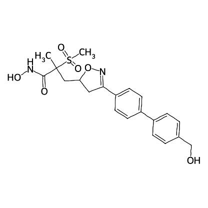 CC(CC1CC(c2ccc(-c3ccc(CO)cc3)cc2)=NO1)(C(=O)NO)S(C)(=O)=O